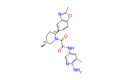 Cc1nc2cc([C@@H]3CC[C@H](C)CN3C(=O)C(=O)Nc3cnc(N)c(C)c3)ccc2o1